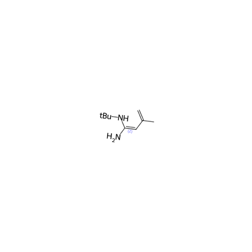 C=C(C)/C=C(/N)NC(C)(C)C